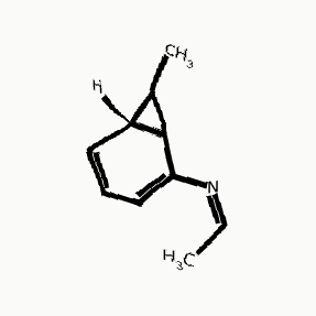 C/C=N\C1=CC=C[C@@H]2C(C)C12